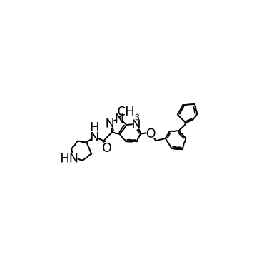 Cn1nc(C(=O)NC2CCNCC2)c2ccc(OCc3cccc(-c4ccccc4)c3)nc21